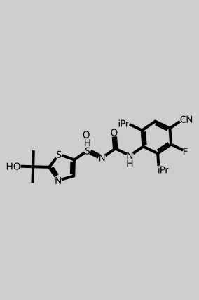 CC(C)c1cc(C#N)c(F)c(C(C)C)c1NC(=O)/N=[SH](=O)/c1cnc(C(C)(C)O)s1